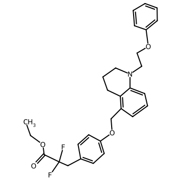 CCOC(=O)C(F)(F)Cc1ccc(OCc2cccc3c2CCCN3CCOc2ccccc2)cc1